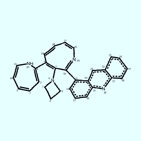 C1=CC=C(C2=C(N3CCC3)C(c3cccc4nc5ccccc5cc34)=NC=CC=C2)NC=C1